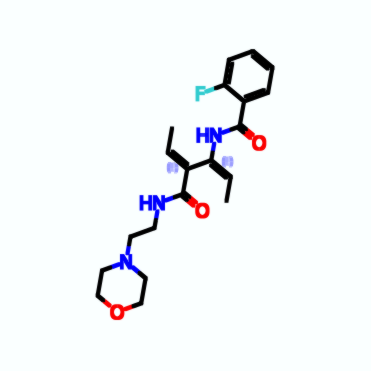 C/C=C(NC(=O)c1ccccc1F)\C(=C/C)C(=O)NCCN1CCOCC1